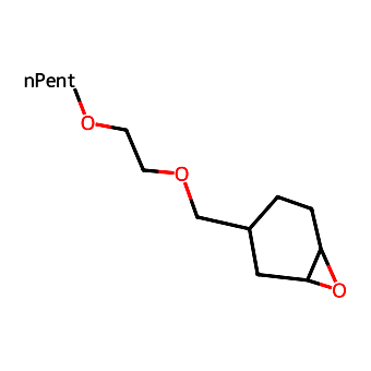 CCCCCOCCOCC1CCC2OC2C1